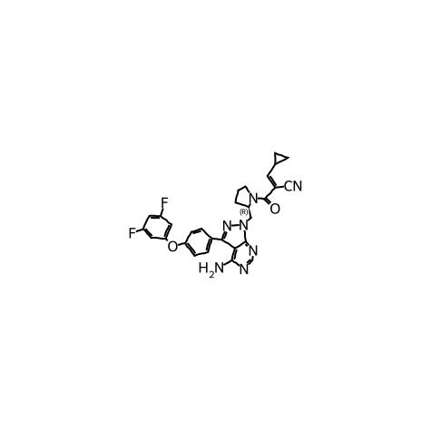 N#CC(=CC1CC1)C(=O)N1CCC[C@@H]1Cn1nc(-c2ccc(Oc3cc(F)cc(F)c3)cc2)c2c(N)ncnc21